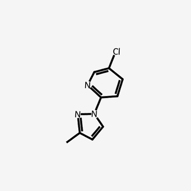 Cc1ccn(-c2ccc(Cl)cn2)n1